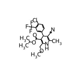 COCC1=C(C(=O)OC(C)C)C(c2ccc(Cl)c(C(F)(F)F)c2)C(C#N)=C(C)N1